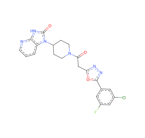 O=C(Cc1nnc(-c2cc(F)cc(Cl)c2)o1)N1CCC(n2c(=O)[nH]c3ncccc32)CC1